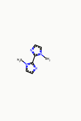 Bn1ccnc1-c1nccn1B